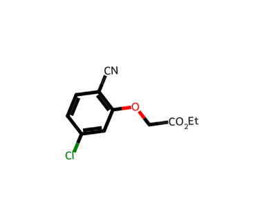 CCOC(=O)COc1cc(Cl)ccc1C#N